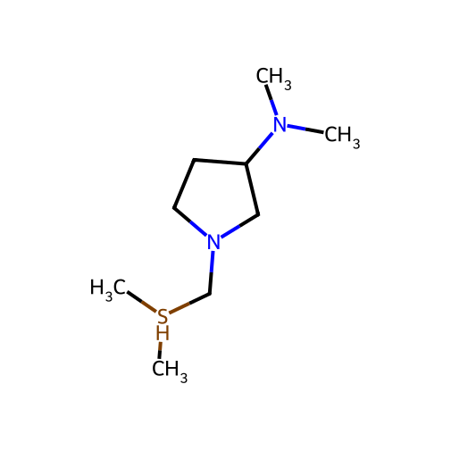 CN(C)C1CCN(C[SH](C)C)C1